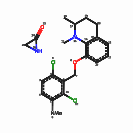 CNc1ccc(Cl)c(COc2cccc3c2N(C)C(C)CC3)c1Cl.O=C1CN1